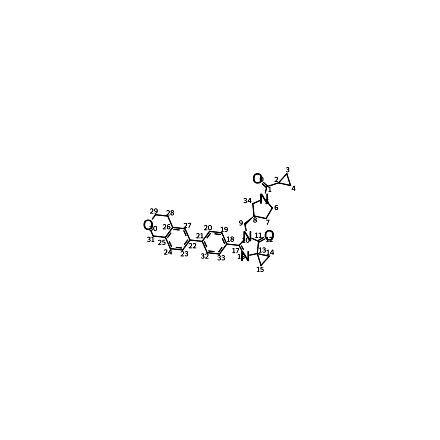 O=C(C1CC1)N1CC[C@@H](CN2C(=O)C3(CC3)N=C2c2ccc(-c3ccc4c(c3)CCOC4)cc2)C1